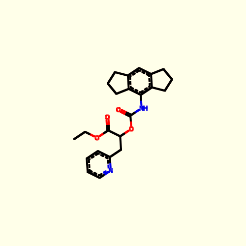 CCOC(=O)C(Cc1ccccn1)OC(=O)Nc1c2c(cc3c1CCC3)CCC2